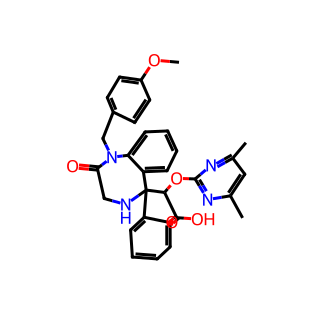 COc1ccc(CN2C(=O)CNC(c3ccccc3)(C(Oc3nc(C)cc(C)n3)C(=O)O)c3ccccc32)cc1